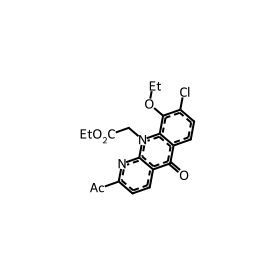 CCOC(=O)Cn1c2nc(C(C)=O)ccc2c(=O)c2ccc(Cl)c(OCC)c21